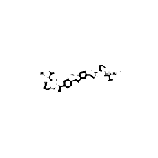 COC(=O)NC(C(=O)N1CCC[C@H]1c1ncc(-c2ccc3c(c2)c(F)c2n3COc3cc(-c4cnc([C@@H]5CCCN5C(=O)[C@@H](NC(=O)O)C(C)C)[nH]4)ccc3-2)[nH]1)C(C)C